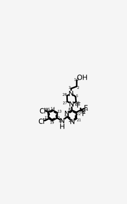 OCCCN1CCN(c2nc(Nc3ccc(Cl)c(Cl)c3)ncc2C(F)(F)F)CC1